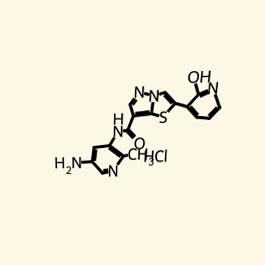 Cc1ncc(N)cc1NC(=O)c1cnn2cc(-c3cccnc3O)sc12.Cl